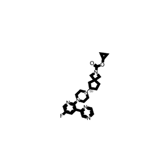 O=C(OC1CC1)N1CC2(CC[C@H](N3CCN(c4ncc(F)cc4-c4cnccn4)CC3)C2)C1